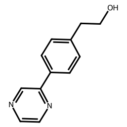 OCCc1ccc(-c2cnccn2)cc1